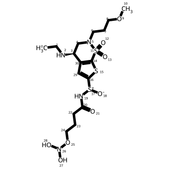 CCN[C@H]1CN(CCCOC)S(=O)(=O)c2sc([S+]([O-])NC(=O)CCCON(O)O)cc21